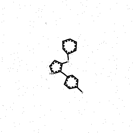 Fc1ccc(-c2[nH]ccc2Sc2ccccc2)cc1